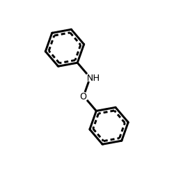 c1ccc(NOc2ccccc2)cc1